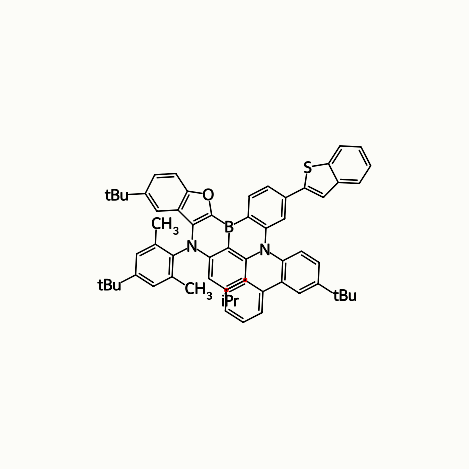 Cc1cc(C(C)(C)C)cc(C)c1N1c2cc(C(C)C)cc3c2B(c2ccc(-c4cc5ccccc5s4)cc2N3c2ccc(C(C)(C)C)cc2-c2ccccc2)c2oc3ccc(C(C)(C)C)cc3c21